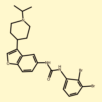 CC(C)N1CCC(c2coc3ccc(NC(=O)Nc4cccc(Br)c4Br)cc23)CC1